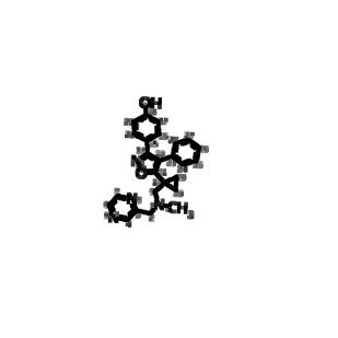 CN(Cc1cnccn1)CC1(c2onc(-c3ccc(O)cc3)c2-c2ccccc2)CC1